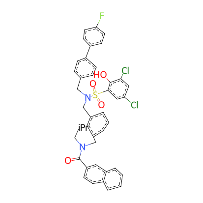 CC(C)CN(Cc1cccc(CN(Cc2ccc(-c3ccc(F)cc3)cc2)S(=O)(=O)c2cc(Cl)cc(Cl)c2O)c1)C(=O)c1ccc2ccccc2c1